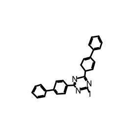 Ic1nc(-c2ccc(-c3ccccc3)cc2)nc(C2C=CC(c3ccccc3)=CC2)n1